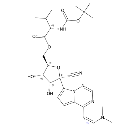 CC(C)[C@H](NC(=O)OC(C)(C)C)C(=O)OC[C@H]1O[C@@](C#N)(c2ccc3c(/N=C\N(C)C)ncnn23)[C@H](O)[C@@H]1O